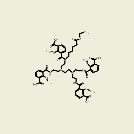 CCOC(=O)CCCCCN(CCN(CCNC(=O)c1cccc(C(=O)O)c1OC)CCN(CCNC(=O)c1cccc(C(=O)O)c1OC)CCNC(=O)c1cccc(C(=O)O)c1OC)C(=O)c1cccc(C(=O)O)c1OC